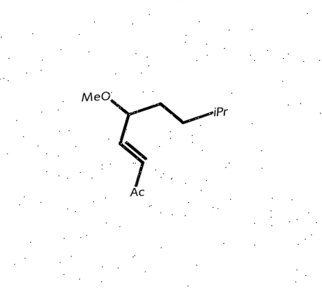 COC(C=CC(C)=O)CCC(C)C